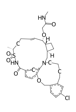 CNC(=O)CO[C@H]1/C=C/CC[C@@H](C)S(=O)(=O)NC(=O)c2ccc3c(c2)N(CCCCc2cc(Cl)ccc2CO3)C[C@@H]2CC[C@H]21